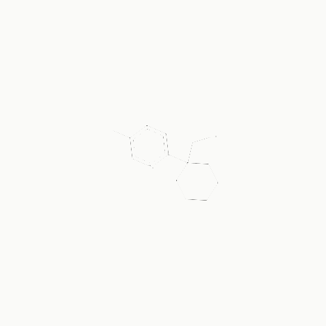 OCC1(c2ccc(Br)cn2)CCCCC1